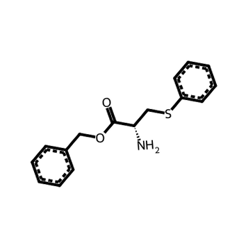 N[C@@H](CSc1ccccc1)C(=O)OCc1ccccc1